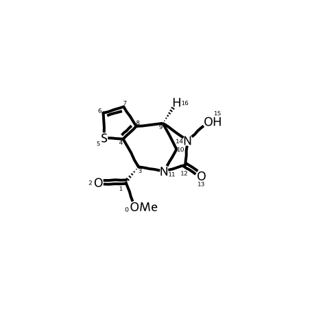 COC(=O)[C@@H]1c2sccc2[C@@H]2CN1C(=O)N2O